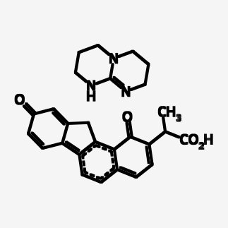 C1CN=C2NCCCN2C1.CC(C(=O)O)C1=CC=c2ccc3c(c2C1=O)CC1=CC(=O)C=CC=31